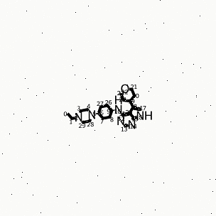 CCN1CCN([C@H]2CC[C@@H](Nc3ncnc4[nH]cc(C5CCOCC5)c34)CC2)CC1